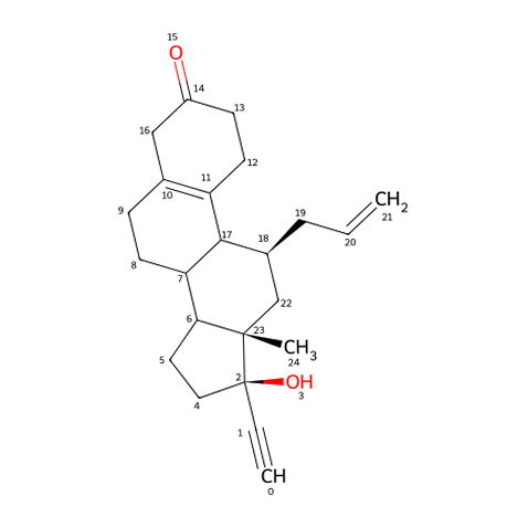 C#C[C@]1(O)CCC2C3CCC4=C(CCC(=O)C4)C3[C@@H](CC=C)C[C@@]21C